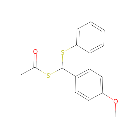 COc1ccc(C(SC(C)=O)Sc2ccccc2)cc1